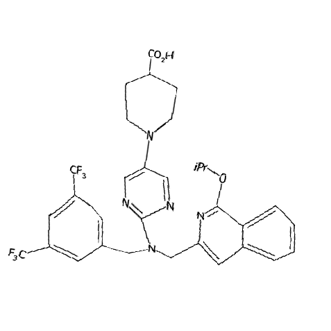 CC(C)Oc1nc(CN(Cc2cc(C(F)(F)F)cc(C(F)(F)F)c2)c2ncc(N3CCC(C(=O)O)CC3)cn2)cc2ccccc12